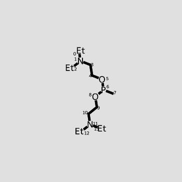 CCN(CC)CCOP(C)OCCN(CC)CC